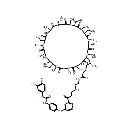 CC[C@@H]1NC(=O)[C@H]([C@H](O)[C@H](C)CCCC(=O)NCCNCCC(=O)c2cc(Oc3ccc(NC(=O)Nc4ccc(Cl)c(C(F)(F)F)c4)cc3)ccn2)N(C)C(=O)[C@H](C(C)C)N(C)C(=O)[C@H](CC(C)C)N(C)C(=O)[C@H](CC(C)C)N(C)C(=O)[C@@H](C)NC(=O)[C@H](C)NC(=O)[C@H](CC(C)C)N(C)C(=O)[C@H](C(C)C)NC(O)[C@H](CC(C)C)N(C)C(=O)CN(C)C1=O